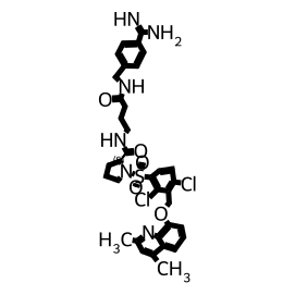 Cc1cc(C)c2cccc(OCc3c(Cl)ccc(S(=O)(=O)N4CCC[C@H]4C(=O)NCCCC(=O)NCc4ccc(C(=N)N)cc4)c3Cl)c2n1